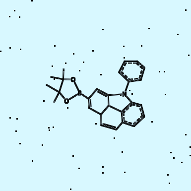 CC1(C)OB(C2=CC3C=Cc4cccc5c4C3C(=C2)N5c2ccccc2)OC1(C)C